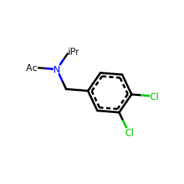 CC(=O)N(Cc1ccc(Cl)c(Cl)c1)C(C)C